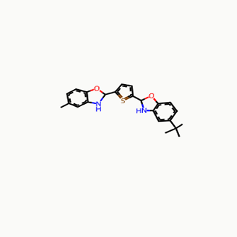 Cc1ccc2c(c1)NC(c1ccc(C3Nc4cc(C(C)(C)C)ccc4O3)s1)O2